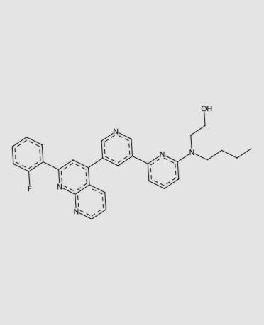 CCCCN(CCO)c1cccc(-c2cncc(-c3cc(-c4ccccc4F)nc4ncccc34)c2)n1